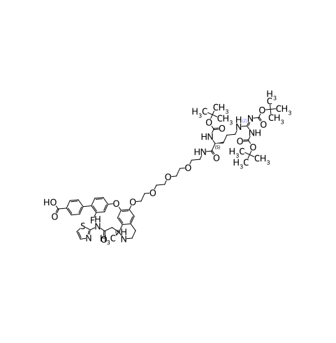 CC(C)(C)OC(=O)/N=C(/NCCC[C@H](NC(=O)OC(C)(C)C)C(=O)NCCOCCOCCOCCOc1cc2c(cc1Oc1ccc(-c3ccc(C(=O)O)cc3)c(F)c1)[C@@](C)(CC(=O)Nc1nccs1)NCC2)NC(=O)OC(C)(C)C